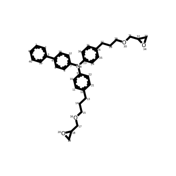 c1ccc(-c2ccc(N(c3ccc(CCCOCC4CO4)cc3)c3ccc(CCCOCC4CO4)cc3)cc2)cc1